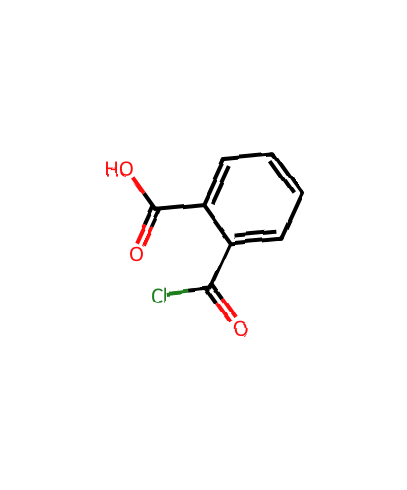 O=C(O)c1ccccc1C(=O)Cl